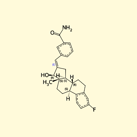 C[C@]12CC[C@@H]3c4ccc(F)cc4CC[C@H]3[C@@H]1C/C(=C\c1cccc(C(N)=O)c1)[C@@H]2O